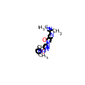 Cc1nn(C)cc1-c1cc2c(cn1)CN(c1ccc(OC3C[C@]4(C)CC[C@](C)(C3)N4)nn1)C2=O